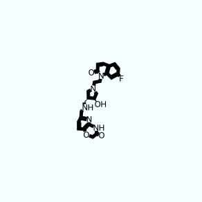 O=C1COc2ccc(CNC[C@@H]3CN(CCn4c(=O)ccc5ccc(F)cc54)C[C@@H]3O)nc2N1